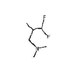 CC(CN(C)C)C(F)F